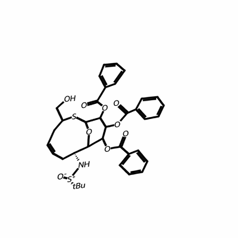 CC(C)(C)[S@@+]([O-])N[C@@H]1C/C=C\CC(CO)SC2OC1C(OC(=O)c1ccccc1)C(OC(=O)c1ccccc1)C2OC(=O)c1ccccc1